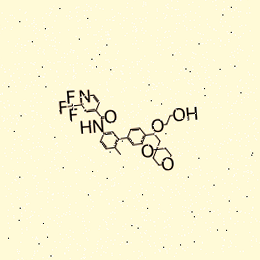 Cc1ccc(NC(=O)c2ccnc(C(F)(F)F)c2)cc1-c1ccc2c(c1)OC1(CCOCC1)CC2OCCO